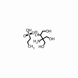 CC(CO)C(N)(CO)CO.CCCS(=O)(=O)O